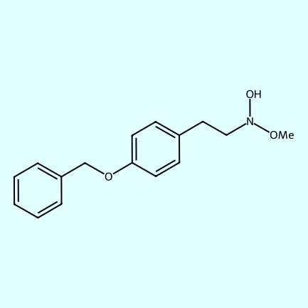 CON(O)CCc1ccc(OCc2ccccc2)cc1